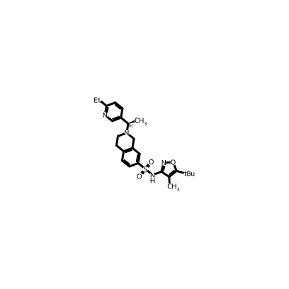 CCc1ccc([C@@H](C)N2CCc3ccc(S(=O)(=O)Nc4noc(C(C)(C)C)c4C)cc3C2)cn1